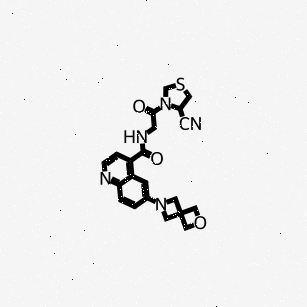 N#CC1CSCN1C(=O)CNC(=O)c1ccnc2ccc(N3CC4(COC4)C3)cc12